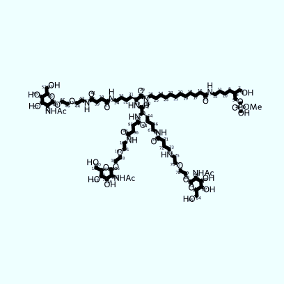 COP(=O)(O)OCC(CO)CCCCNC(=O)CCCCCCCCCCCNC(=O)[C@H](CCCCNC(=O)CCC(=O)NCCOCCOC1OC(CO)C(O)C(O)C1NC(C)=O)NC(=O)[C@H](CCCCNC(=O)CCCNCCOCCOC1OC(CO)C(O)C(O)C1NC(C)=O)NC(=O)CCC(=O)NCCOCCOC1OC(CO)C(O)C(O)C1NC(C)=O